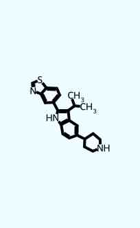 CC(C)c1c(-c2ccc3scnc3c2)[nH]c2ccc(C3CCNCC3)cc12